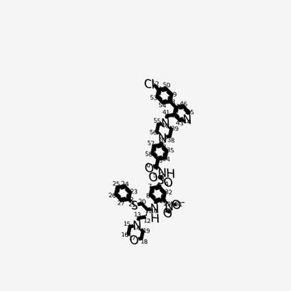 O=C(NS(=O)(=O)c1ccc(N[C@H](CCN2CCOCC2)CSc2ccccc2)c([N+](=O)[O-])c1)c1ccc(N2CCN(Cc3cnccc3-c3ccc(Cl)cc3)CC2)cc1